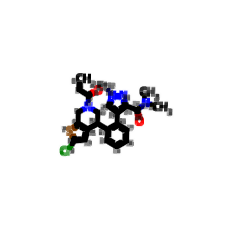 C=CC(=O)N1Cc2sc(Cl)cc2C(c2ccccc2-c2cn(CC)nc2C(=O)N(C)C)C1